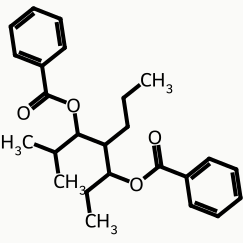 CCCC(C(CC)OC(=O)c1ccccc1)C(OC(=O)c1ccccc1)C(C)C